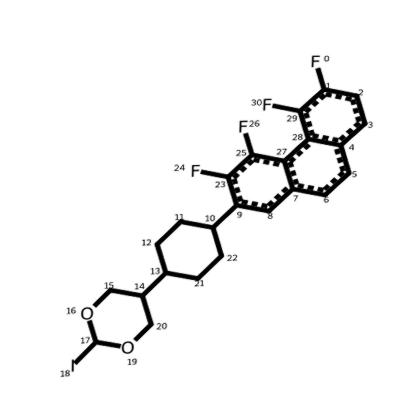 Fc1ccc2ccc3cc(C4CCC(C5COC(I)OC5)CC4)c(F)c(F)c3c2c1F